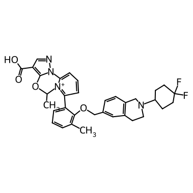 Cc1cccc(-c2cccc3[n+]2C(C)Oc2c(C(=O)O)cnn2-3)c1OCc1ccc2c(c1)CCN(C1CCC(F)(F)CC1)C2